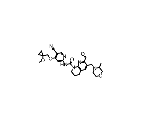 COC1(COc2cc(NC(=O)N3CCCc4cc(CN5CCOCC5C)c(C=O)nc43)ncc2C#N)CC1